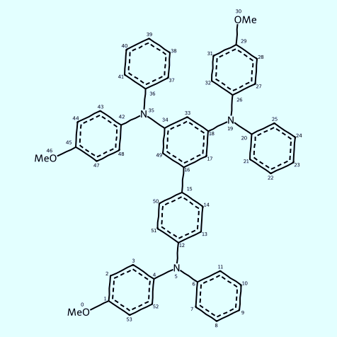 COc1ccc(N(c2ccccc2)c2ccc(-c3cc(N(c4ccccc4)c4ccc(OC)cc4)cc(N(c4ccccc4)c4ccc(OC)cc4)c3)cc2)cc1